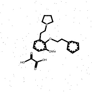 COc1cccc(CCN2CCCC2)c1OCCc1ccccc1.O=C(O)C(=O)O